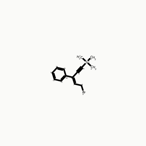 C[Si](C)(C)C#CC(=CCBr)c1ccccc1